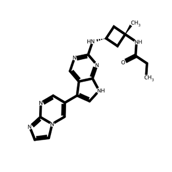 CCC(=O)N[C@]1(C)C[C@H](Nc2ncc3c(-c4cnc5nccn5c4)c[nH]c3n2)C1